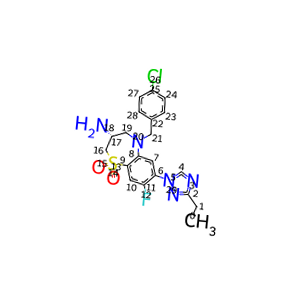 CCc1ncn(-c2cc3c(cc2F)S(=O)(=O)C[C@H](N)CN3Cc2ccc(Cl)cc2)n1